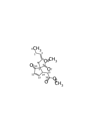 CC/C=C\CC1(C(=O)OC)C(=O)C=CC1CC(=O)OC